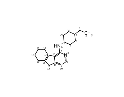 CC[C@H]1CC[C@H](Nc2ncnc3sc4c(c23)CCCC4)CC1